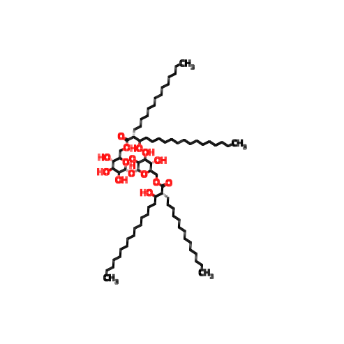 CCCCCCCCCCCCCCC[C@@H](O)[C@@H](CCCCCCCCCCCCCC)C(=O)OCC1O[C@H](O[C@H]2OC(COC(=O)[C@H](CCCCCCCCCCCCCC)[C@H](O)CCCCCCCCCCCCCCC)[C@@H](O)[C@H](O)C2O)C(O)[C@@H](O)[C@@H]1O